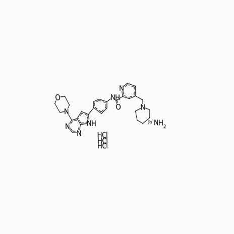 Cl.Cl.Cl.N[C@@H]1CCCN(Cc2ccnc(C(=O)Nc3ccc(-c4cc5c(N6CCOCC6)ncnc5[nH]4)cc3)c2)C1